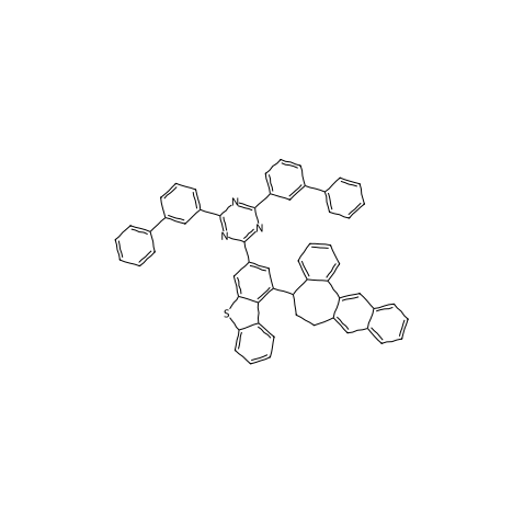 c1ccc(-c2cccc(-c3nc(-c4cccc(-c5ccccc5)c4)nc(-c4cc(C5CCc6cc7ccccc7cc6-c6ccccc65)c5c(c4)sc4ccccc45)n3)c2)cc1